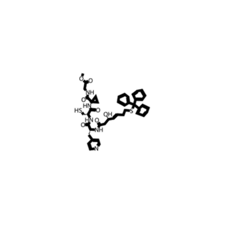 COC(=O)CNC(=O)C1(NC(=O)[C@@H](CS)NC(=O)[C@@H](Cc2ccncc2)NC(=O)C[C@H](O)/C=C/CCSC(c2ccccc2)(c2ccccc2)c2ccccc2)CC1